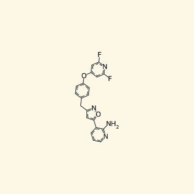 Nc1ncccc1-c1cc(Cc2ccc(Oc3cc(F)nc(F)c3)cc2)no1